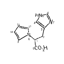 O=C(O)C(Cc1c[nH]cn1)n1cccc1